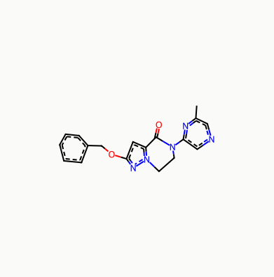 Cc1cncc(N2CCn3nc(OCc4ccccc4)cc3C2=O)n1